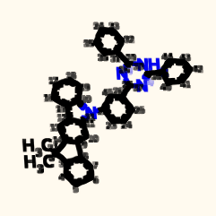 CC1(C)c2ccccc2-c2cc3c(cc21)c1ccccc1n3-c1cccc(C(/N=C(\N)c2ccccc2)/N=C/c2ccccc2)c1